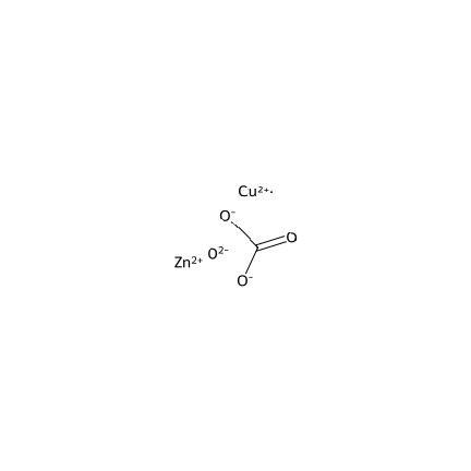 O=C([O-])[O-].[Cu+2].[O-2].[Zn+2]